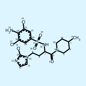 CC1CCN(C(=O)C(CCn2ccnc2Cl)NS(=O)(=O)c2cc(Cl)c(N)c(Cl)c2)CC1